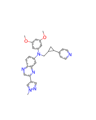 COc1cc(OC)cc(N(CC2CC2c2ccncc2)c2ccc3ncc(-c4cnn(C)c4)nc3c2)c1